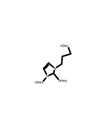 CCCCCCCCCCCCCN1C=CN(CCCCCC)C1CCCCCC